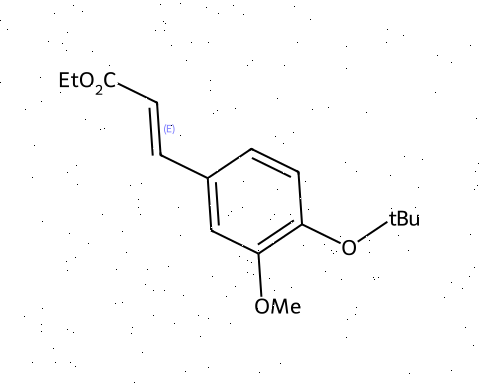 CCOC(=O)/C=C/c1ccc(OC(C)(C)C)c(OC)c1